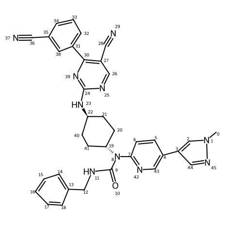 Cn1cc(-c2ccc(N(C(=O)NCc3ccccc3)[C@H]3CC[C@H](Nc4ncc(C#N)c(-c5cccc(C#N)c5)n4)CC3)nc2)cn1